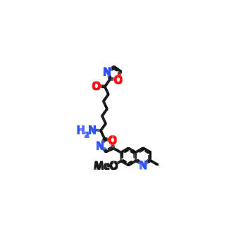 COc1cc2nc(C)ccc2cc1-c1cnc([C@@H](N)CCCCCC(=O)c2ncco2)o1